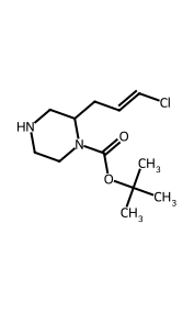 CC(C)(C)OC(=O)N1CCNCC1CC=CCl